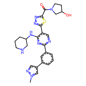 Cn1cc(-c2cccc(-c3ncc(-c4nnc(C(=O)N5CCC(O)C5)s4)c(NC4CCCNC4)n3)c2)cn1